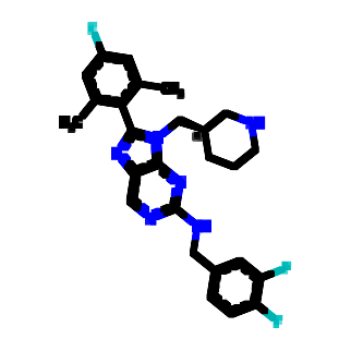 Cc1cc(F)cc(C)c1-c1nc2cnc(NCc3ccc(F)c(F)c3)nc2n1C[C@@H]1CCCNC1